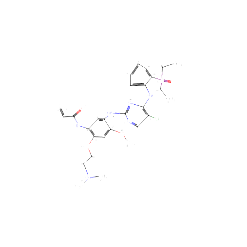 C=CC(=O)Nc1cc(Nc2ncc(Cl)c(Nc3ccccc3P(=O)(CC)CC)n2)c(OC)cc1OCCN(C)C